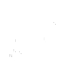 C=Cc1c(-c2cccc(-n3nnc4ccccc43)c2C)cccc1-c1cccc2c1c1ccccc1n2C1=CC=CCC1